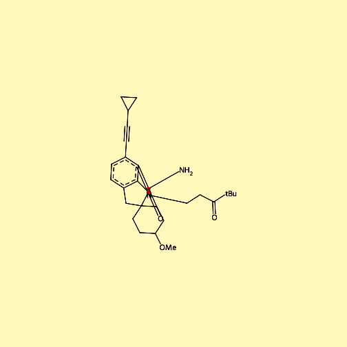 COC1CCC2(CC1)Cc1ccc(C#CC3CC3)cc1C21N=C(N)N(CCC(=O)C(C)(C)C)C1=O